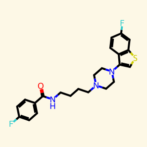 O=C(NCCCCN1CCN(c2csc3cc(F)ccc23)CC1)c1ccc(F)cc1